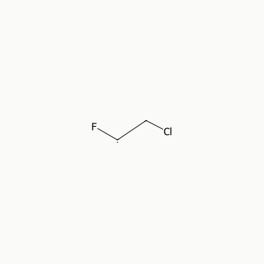 F[CH]CCl